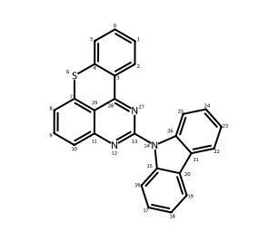 c1ccc2c(c1)Sc1cccc3nc(-n4c5ccccc5c5ccccc54)nc-2c13